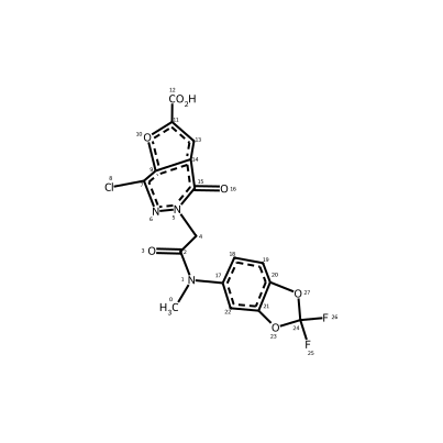 CN(C(=O)Cn1nc(Cl)c2oc(C(=O)O)cc2c1=O)c1ccc2c(c1)OC(F)(F)O2